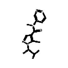 Cc1c(C(=O)N(C)c2ccnnc2)cnn1C(C)C(C)C